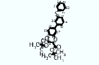 CC(C)(C)OC(=O)C(Oc1cccc(-c2cccc(Sc3ccccc3)c2)c1)C(=O)OC(C)(C)C